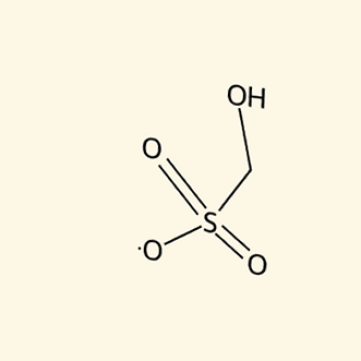 [O]S(=O)(=O)CO